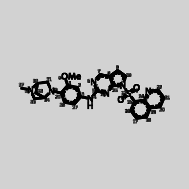 COc1cc(Nc2ncc3ccn(S(=O)(=O)c4cccc5cccnc45)c3n2)ccc1N1CC2CC1CN2C